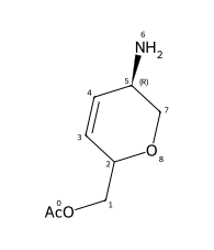 CC(=O)OCC1C=C[C@@H](N)CO1